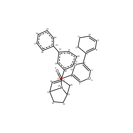 O=C(C1=COC=C(C2=CC=CCC2)O1)N1C2C=C(c3cccc(-c4ccccc4)c3)CC1CC2